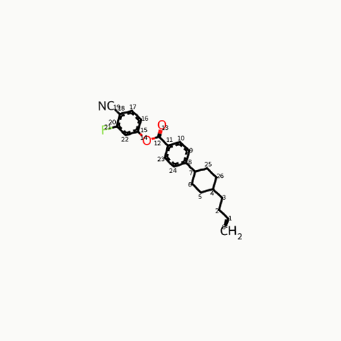 C=CCCC1CCC(c2ccc(C(=O)Oc3ccc(C#N)c(F)c3)cc2)CC1